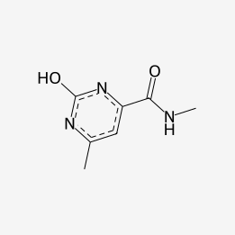 CNC(=O)c1cc(C)nc(O)n1